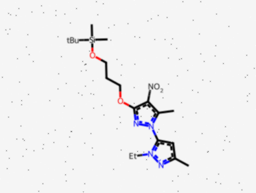 CCn1nc(C)cc1-n1nc(OCCCO[Si](C)(C)C(C)(C)C)c([N+](=O)[O-])c1C